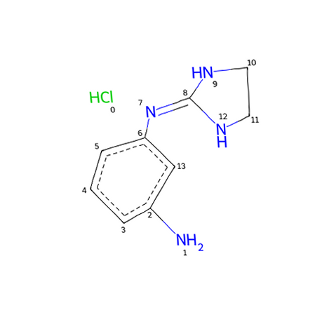 Cl.Nc1cccc(N=C2NCCN2)c1